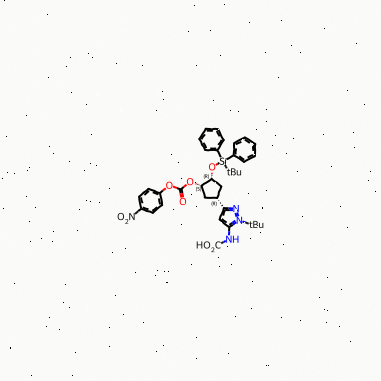 CC(C)(C)n1nc([C@@H]2C[C@H](OC(=O)Oc3ccc([N+](=O)[O-])cc3)[C@H](O[Si](c3ccccc3)(c3ccccc3)C(C)(C)C)C2)cc1NC(=O)O